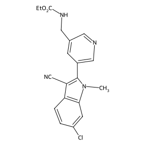 CCOC(=O)NCc1cncc(-c2c(C#N)c3ccc(Cl)cc3n2C)c1